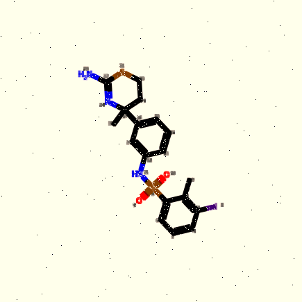 Cc1c(I)cccc1S(=O)(=O)Nc1cccc(C2(C)CCSC(N)=N2)c1